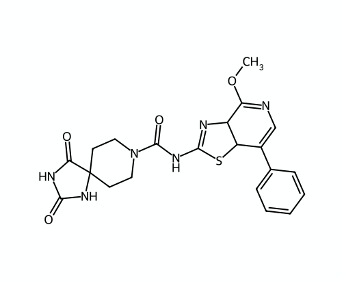 COC1=NC=C(c2ccccc2)C2SC(NC(=O)N3CCC4(CC3)NC(=O)NC4=O)=NC12